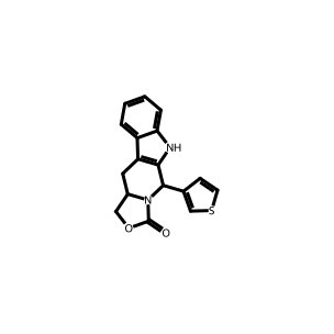 O=C1OCC2Cc3c([nH]c4ccccc34)C(c3ccsc3)N12